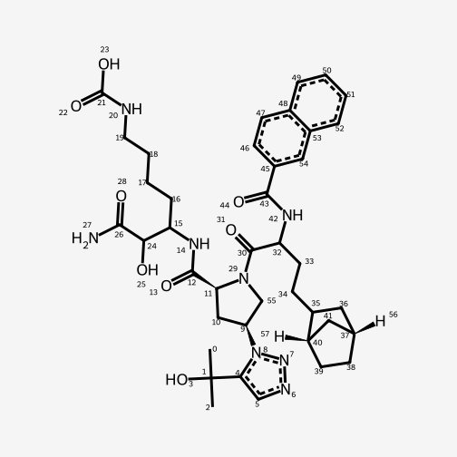 CC(C)(O)c1cnnn1[C@H]1C[C@@H](C(=O)NC(CCCCNC(=O)O)C(O)C(N)=O)N(C(=O)C(CCC2C[C@@H]3CC[C@H]2C3)NC(=O)c2ccc3ccccc3c2)C1